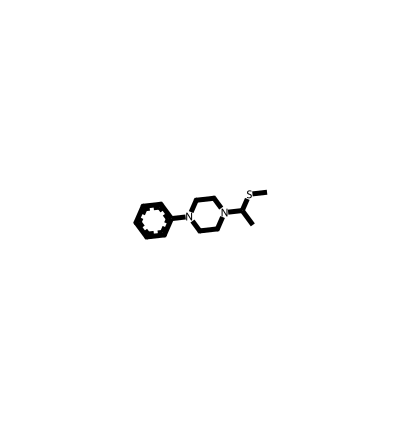 CSC(C)N1CCN(c2ccccc2)CC1